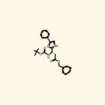 CC(C)(C)OC(=O)N[C@@H](CC(=O)OCc1ccccc1)c1nc(-c2ccccc2)c[nH]1